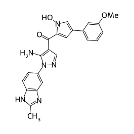 COc1cccc(-c2cc(C(=O)c3cnn(-c4ccc5[nH]c(C)nc5c4)c3N)n(O)c2)c1